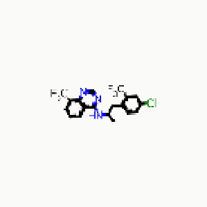 CC(Cc1ccc(Cl)cc1C(F)(F)F)Nc1ncnc2c(C(F)(F)F)cccc12